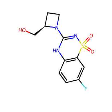 O=S1(=O)N=C(N2CC[C@@H]2CO)Nc2ccc(F)cc21